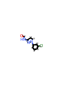 O=CNC1=NN(c2cccc(Cl)c2)CC1